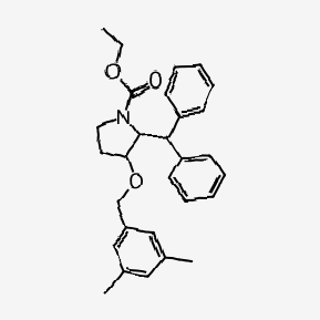 CCOC(=O)N1CCC(OCc2cc(C)cc(C)c2)C1C(c1ccccc1)c1ccccc1